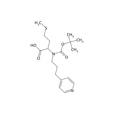 CSCCC(C(=O)O)N(CCCc1ccncc1)C(=O)OC(C)(C)C